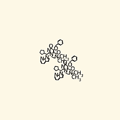 CC(C)N1CCn2c(C(C3CCCC3)n3ccc4cccnc43)nc(=O)c(OCc3ccccc3)c2C1=O.CC(C)N1CCn2c(C(C3CCCC3)n3ccc4cccnc43)nc(=O)c(OCc3ccccc3)c2C1=O